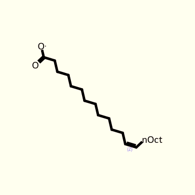 CCCCCCCC/C=C\CCCCCCCCCCCC([O])=O